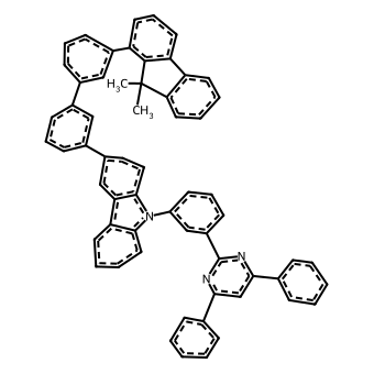 CC1(C)c2ccccc2-c2cccc(-c3cccc(-c4cccc(-c5ccc6c(c5)c5ccccc5n6-c5cccc(-c6nc(-c7ccccc7)cc(-c7ccccc7)n6)c5)c4)c3)c21